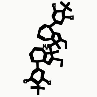 CCC1=CC2=C(C=CC=CC2c2cc(Cl)c([Si](C)(C)C)c(Cl)c2)C1(C)[SiH2]C1(C)C(CC)=CC2=C1C=CC=CC2c1cc(Cl)c([Si](C)(C)C)c(Cl)c1